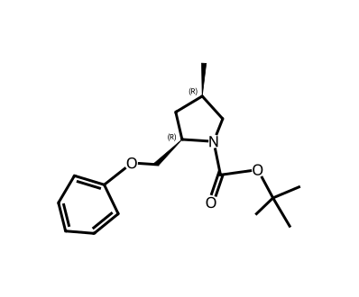 C[C@@H]1C[C@H](COc2ccccc2)N(C(=O)OC(C)(C)C)C1